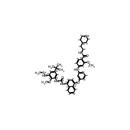 COc1cc(Nc2cc(Oc3ccc(NC(=O)Nc4cc(C(C)(C)C)cc(NSC)c4OC)c4ccccc34)ccn2)ccc1C(=O)NCCC1CCNCC1